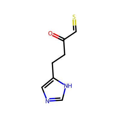 O=C(C=S)CCc1cnc[nH]1